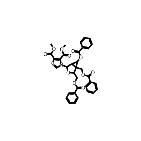 COC(=O)c1ncn(C2OC(COC(=O)c3ccccc3)C3(COC(=O)c4ccccc4)C(OC(=O)c4ccccc4)C23)c1C(=O)OC